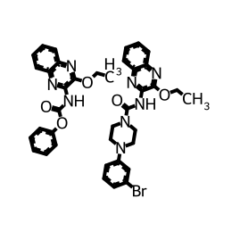 CCOc1nc2ccccc2nc1NC(=O)N1CCN(c2cccc(Br)c2)CC1.CCOc1nc2ccccc2nc1NC(=O)Oc1ccccc1